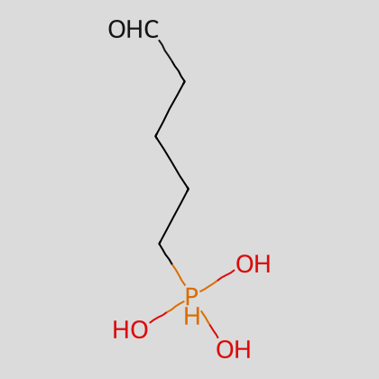 O=CCCCC[PH](O)(O)O